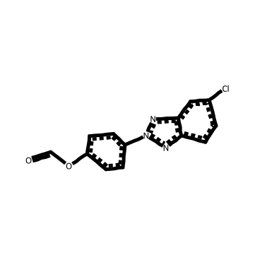 O=COc1ccc(-n2nc3ccc(Cl)cc3n2)cc1